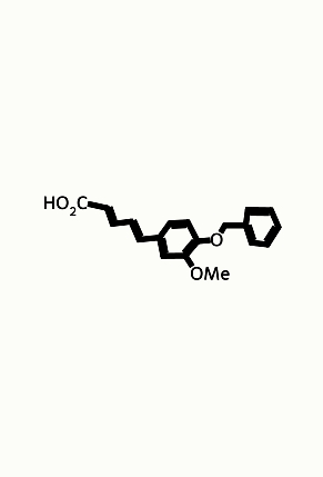 COc1cc(C=CC=CC(=O)O)ccc1OCc1ccccc1